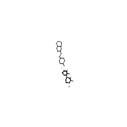 CCCC1CCC2CC(CCC3CCC(COc4ccc(-c5ccc(OCC)c(F)c5F)c(F)c4F)CC3)CCC2C1